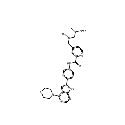 CCCCN(Cc1ccnc(C(=O)Nc2ccc(-c3cc4c(N5CCOCC5)ncnc4[nH]3)cc2)c1)CC(C)NC